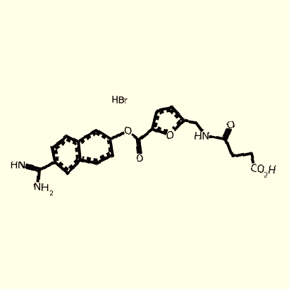 Br.N=C(N)c1ccc2cc(OC(=O)c3ccc(CNC(=O)CCC(=O)O)o3)ccc2c1